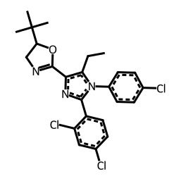 CCc1c(C2=NCC(C(C)(C)C)O2)nc(-c2ccc(Cl)cc2Cl)n1-c1ccc(Cl)cc1